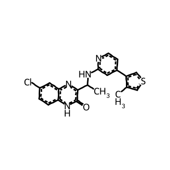 Cc1cscc1-c1ccnc(NC(C)c2nc3cc(Cl)ccc3[nH]c2=O)c1